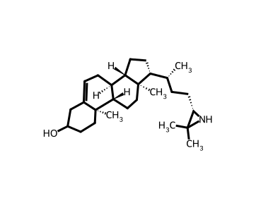 C[C@H](CC[C@@H]1NC1(C)C)[C@H]1CC[C@H]2[C@@H]3CC=C4CC(O)CC[C@]4(C)[C@H]3CC[C@]12C